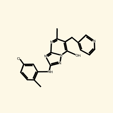 Cc1ccc(Cl)cc1Nc1nc2nc(C)c(Cc3cccnc3)c(O)n2n1